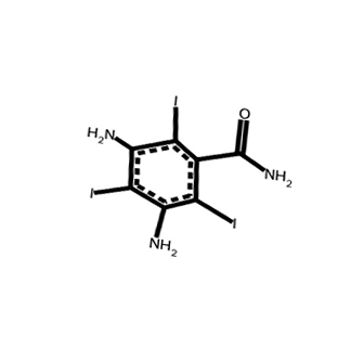 NC(=O)c1c(I)c(N)c(I)c(N)c1I